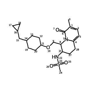 Cc1ccc2n(c1=O)C(COC1CCC(CC3CC3)CC1)C(NS(C)(=O)=O)CC2